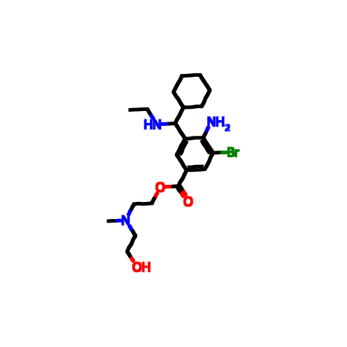 CCNC(c1cc(C(=O)OCCN(C)CCO)cc(Br)c1N)C1CCCCC1